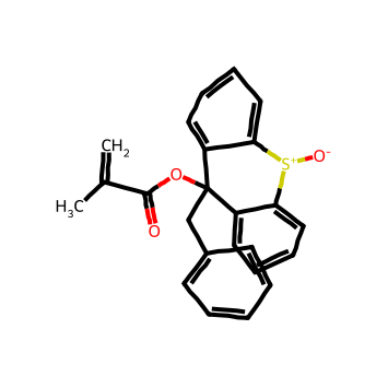 C=C(C)C(=O)OC1(Cc2ccccc2)c2ccccc2[S+]([O-])c2ccccc21